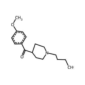 [CH]CCCN1CCC(C(=O)c2ccc(OC)cc2)CC1